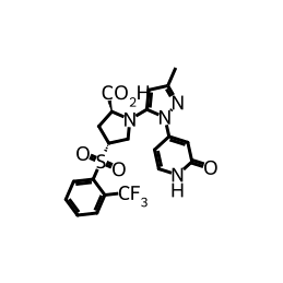 Cc1cc(N2C[C@H](S(=O)(=O)c3ccccc3C(F)(F)F)C[C@H]2C(=O)O)n(-c2cc[nH]c(=O)c2)n1